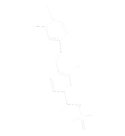 C=C(NS(=C)(=C)C)c1ccc(OCc2ccc(F)c(F)c2)c(Cl)c1